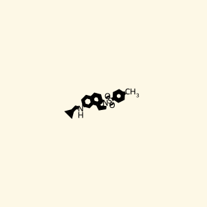 Cc1ccc(S(=O)(=O)n2ccc3c4c(ccc32)CCC(NCC2CC2)C4)cc1